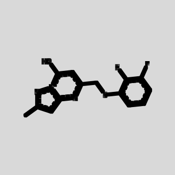 Cc1cc2nc(CSc3cccc(F)c3F)cc(O)n2n1